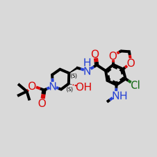 CNc1cc(C(=O)NC[C@@H]2CCN(C(=O)OC(C)(C)C)C[C@H]2O)c2c(c1Cl)OCCO2